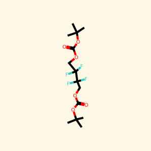 CC(C)(C)OC(=O)OCC(F)(F)C(F)(F)COC(=O)OC(C)(C)C